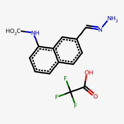 NN=Cc1ccc2cccc(NC(=O)O)c2c1.O=C(O)C(F)(F)F